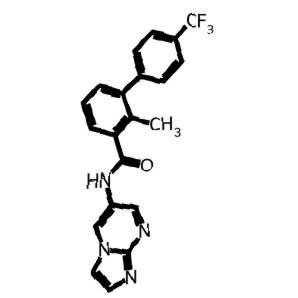 Cc1c(C(=O)Nc2cnc3nccn3c2)cccc1-c1ccc(C(F)(F)F)cc1